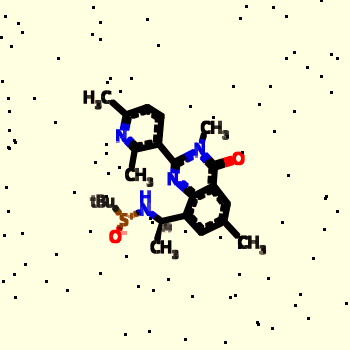 Cc1cc([C@@H](C)N[S+]([O-])C(C)(C)C)c2nc(-c3ccc(C)nc3C)n(C)c(=O)c2c1